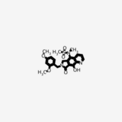 COc1ccc(CN2Cc3c(c(O)c4ncccc4c3N(C)S(C)(=O)=O)C2=O)c(OC)c1